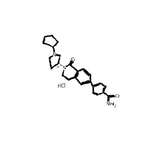 Cl.NC(=O)c1ccc(-c2ccc3c(c2)CCN([C@@H]2CCN(C4CCCC4)C2)C3=O)cc1